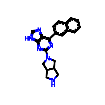 c1ccc2cc(-c3nc(N4CC5CNCC5C4)nc4[nH]cnc34)ccc2c1